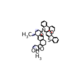 C/C=C(\C=C/C(=O)N(C1=CCC2C(=C1)Sc1ccccc12)c1ccccc1C1=COCC=C1)c1ccc2c(c1)-c1c(oc(C)c1/C=C\O)CC2